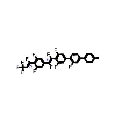 Cc1ccc(-c2ccc(-c3cc(F)c(/C(F)=C(\F)c4cc(F)c(/C(F)=C/C(F)(F)F)c(F)c4)c(F)c3)c(F)c2)cc1